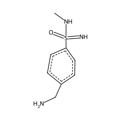 CNS(=N)(=O)c1ccc(CN)cc1